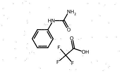 NC(=O)Nc1ccccc1.O=C(O)C(F)(F)F